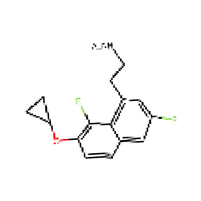 CC(=O)NCCc1cc(F)cc2ccc(OC3CC3)c(F)c12